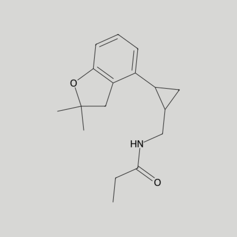 CCC(=O)NCC1CC1c1cccc2c1CC(C)(C)O2